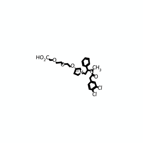 CN(C(=O)Cc1ccc(Cl)c(Cl)c1)C(CN1CC[C@H](OCCOCCOCC(=O)O)C1)c1ccccc1